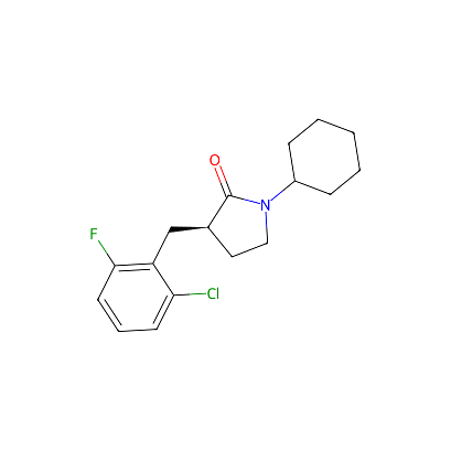 O=C1[C@H](Cc2c(F)cccc2Cl)CCN1C1CCCCC1